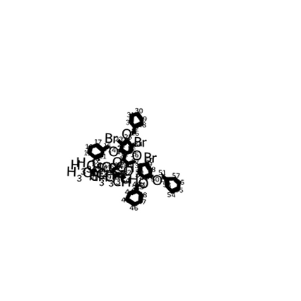 CC(C)(C)[Si](C)(C)OCCO[C@H]1c2c(OCc3ccccc3)c(Br)c(OCc3ccccc3)c(Br)c2O[C@H](c2cc(OCc3ccccc3)c(OCc3ccccc3)cc2Br)[C@H]1O[Si](C)(C)C(C)(C)C